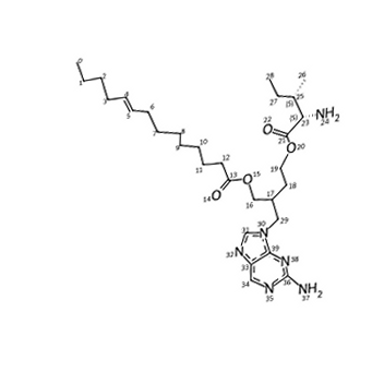 CCCCC=CCCCCCCCC(=O)OCC(CCOC(=O)[C@@H](N)[C@@H](C)CC)Cn1cnc2cnc(N)nc21